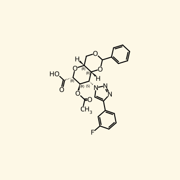 CC(=O)O[C@@H]1[C@@H](n2cc(-c3cccc(F)c3)nn2)[C@H]2OC(c3ccccc3)OC[C@H]2O[C@H]1C(=O)O